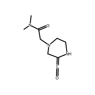 CN(C)C(=O)CN1CCNC(=C=O)C1